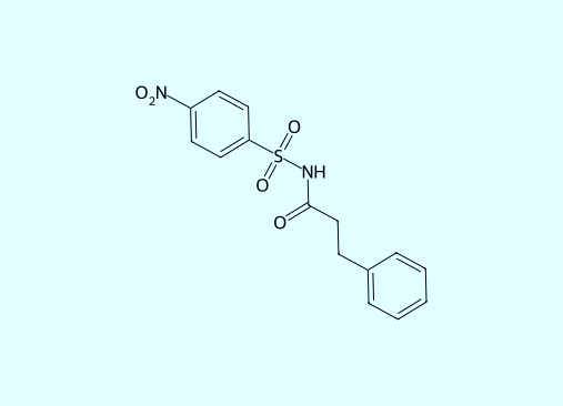 O=C(CCc1ccccc1)NS(=O)(=O)c1ccc([N+](=O)[O-])cc1